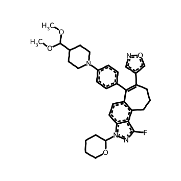 COC(OC)C1CCN(c2ccc(C3=C(c4cnoc4)CCCc4c3ccc3c4c(F)nn3C3CCCCO3)cc2)CC1